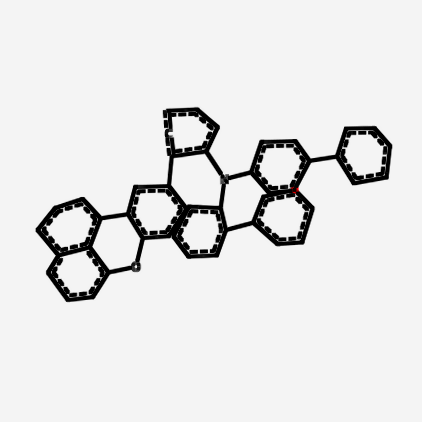 c1ccc(-c2ccc(N(c3ccccc3-c3ccccc3)c3ccccc3-c3ccc4c(c3)-c3cccc5cccc(c35)O4)cc2)cc1